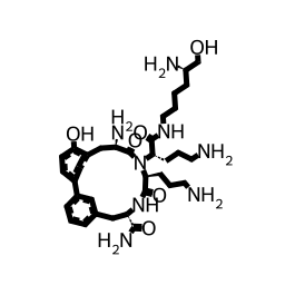 NCCC[C@@H](C(=O)NCCCC[C@H](N)CO)N1C(=O)[C@@H](N)Cc2cc(ccc2O)-c2cccc(c2)C[C@@H](C(N)=O)NC(=O)[C@@H]1CCCN